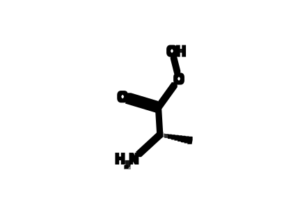 C[C@H](N)C(=O)OO